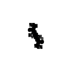 Cc1c(COc2cc(OCc3cncc(C#N)c3)c(CN3CCCCC3)cc2F)cccc1-c1cccc(COc2cc(OCc3cncc(C#N)c3)c(CN3CCCCC3)cc2F)c1C